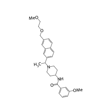 COCCOCc1ccc2ccc(C(C)N3CCC(NC(=O)c4cccc(OC)c4)CC3)cc2c1